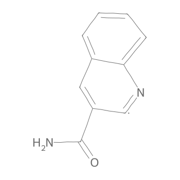 NC(=O)c1[c]nc2ccccc2c1